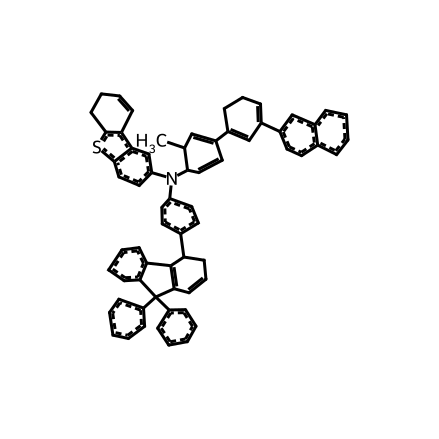 CC1C=C(C2=CC(c3ccc4ccccc4c3)=CCC2)C=CC1N(c1ccc(C2CC=CC3=C2c2ccccc2C3(c2ccccc2)c2ccccc2)cc1)c1ccc2sc3c(c2c1)C=CCC3